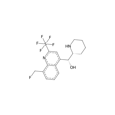 O[C@H](c1cc(S(F)(F)(F)(F)F)nc2c(CF)cccc12)[C@H]1CCCCN1